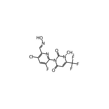 Cn1c(C(F)(F)F)cc(=O)n(-c2nc(C=NO)c(Cl)cc2F)c1=O